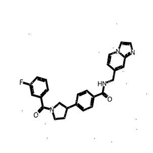 O=C(NCc1ccn2ccnc2c1)c1ccc(C2CCN(C(=O)c3cccc(F)c3)C2)cc1